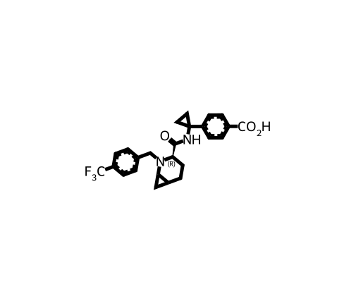 O=C(O)c1ccc(C2(NC(=O)[C@H]3CCC4CC4N3Cc3ccc(C(F)(F)F)cc3)CC2)cc1